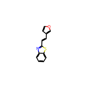 C(=C\c1nc2ccccc2s1)/c1ccoc1